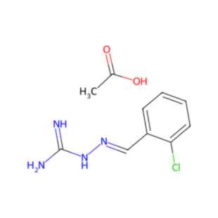 CC(=O)O.N=C(N)NN=Cc1ccccc1Cl